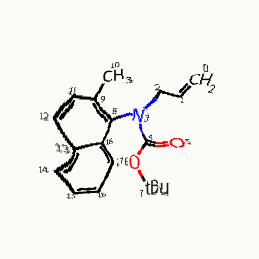 C=CCN(C(=O)OC(C)(C)C)c1c(C)ccc2ccccc12